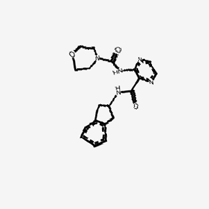 O=C(NC1Cc2ccccc2C1)c1nccnc1NC(=O)N1CCOCC1